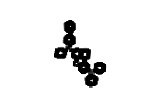 c1ccc(-c2ccc(N(c3ccccc3)c3cc4c5c(cccc5c3)-c3cc(N(c5ccccc5)c5ccccc5)ccc3O4)cc2)cc1